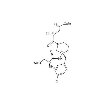 CC[C@H](CC(=O)OC)C(=O)N1CCC[C@](Cc2ccc(Cl)cc2)(NC(=O)[C@@H](N)COC)C1